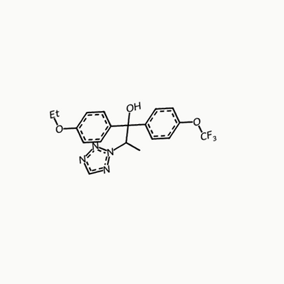 CCOc1ccc(C(O)(c2ccc(OC(F)(F)F)cc2)C(C)n2ncnn2)cc1